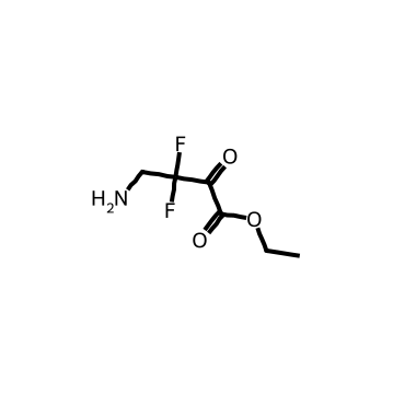 CCOC(=O)C(=O)C(F)(F)CN